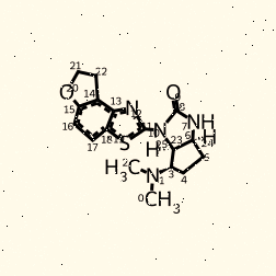 CN(C)[C@@H]1CC[C@@H]2NC(=O)N(c3nc4c5c(ccc4s3)OCC5)[C@@H]21